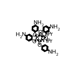 CC(C)OP1(OC(C)C)=NP(Oc2ccc(N)cc2)N(Oc2ccc(N)cc2)P(Oc2ccc(N)cc2)N1Oc1ccc(N)cc1